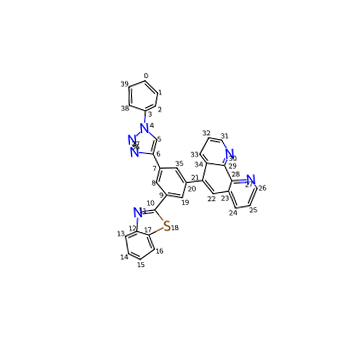 c1ccc(-n2cc(-c3cc(-c4nc5ccccc5s4)cc(-c4cc5cccnc5c5ncccc45)c3)nn2)cc1